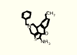 CCc1ccc2c(c1)C1CN(Cc3ccccc3)Cc3sc(N)c(c31)C2=O